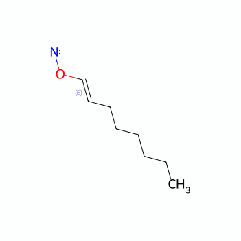 CCCCCC/C=C/O[N]